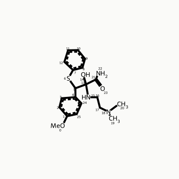 COc1ccc(C(Sc2ccccc2)C(O)(NCCN(C)C)C(N)=O)cc1